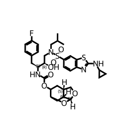 CC(C)CN(C[C@@H](O)[C@H](Cc1ccc(F)cc1)NC(=O)OC1C[C@@H]2CO[C@@H]3OC1C[C@H]23)S(=O)(=O)c1ccc2nc(NC3CC3)sc2c1